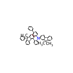 CC1(C)c2ccccc2-c2ccc(N(c3ccc(-c4ccccc4)cc3)c3ccccc3-c3cccc4c3-c3ccccc3C4(C)c3ccccc3)cc21